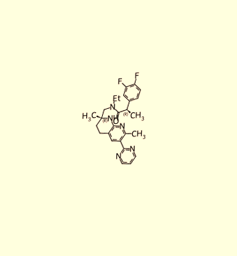 CCN(C[C@@]1(C)CCc2cc(-c3ncccn3)c(C)nc2N1)C(=O)[C@H](C)c1ccc(F)c(F)c1